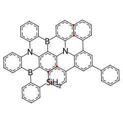 c1ccc(-c2cc(-c3ccccc3)c(N3c4ccccc4B4c5ccccc5N5c6ccccc6B6c7ccccc7[SiH2]c7cc3c4c5c76)c(-c3ccccc3)c2)cc1